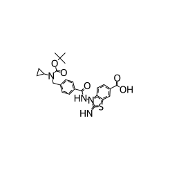 CC(C)(C)OC(=O)N(Cc1ccc(C(=O)Nn2c(=N)sc3cc(C(=O)O)ccc32)cc1)C1CC1